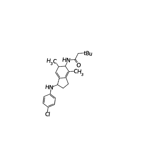 CC1=C2CCC(Nc3ccc(Cl)cc3)C2=CC(C)C1NC(=O)CC(C)(C)C